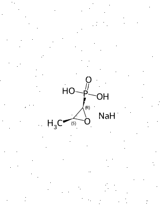 C[C@@H]1O[C@@H]1P(=O)(O)O.[NaH]